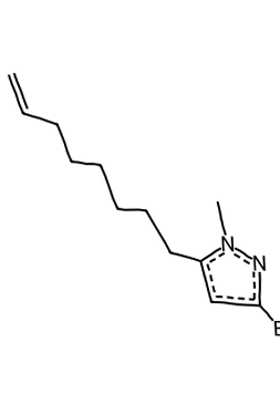 C=CCCCCCCc1cc(Br)nn1C